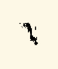 O=C(Cc1cccc(OC(F)(F)F)c1)Nc1cn(CCCCn2cc(C(=O)NCC3CCCC3)nn2)nn1